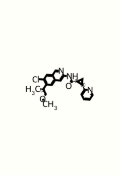 COC[C@@H](C)c1cc2cc(NC(=O)[C@@H]3C[C@H]3c3ccccn3)ncc2cc1Cl